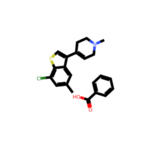 Cc1cc(Cl)c2scc(C3=CCN(C)CC3)c2c1.O=C(O)c1ccccc1